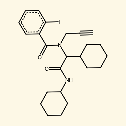 C#CCN(C(=O)c1ccccc1I)C(C(=O)NC1CCCCC1)C1CCCCC1